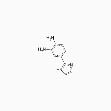 Nc1ccc(-c2ncc[nH]2)cc1N